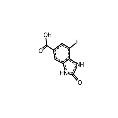 O=C(O)c1cc(F)c2[nH]c(=O)[nH]c2c1